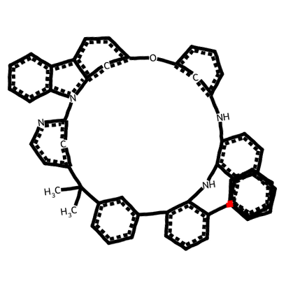 CC1(C)c2cccc(c2)-c2cccc(-c3ccccc3)c2Nc2c(ccc3ccccc23)Nc2cccc(c2)Oc2ccc3c4ccccc4n(c3c2)-c2cc1ccn2